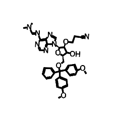 COc1ccc(C(OC[C@H]2O[C@@H](n3cnc4c(/N=C/N(C)C)ncnc43)[C@@H](OCCC#N)C2O)(c2ccccc2)c2ccc(OC)cc2)cc1